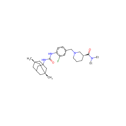 CCN(CC)C(=O)[C@H]1CCCN(Cc2ccc(NC(=O)NC34CC5C[C@@](C)(C3)C[C@](C)(C5)C4)c(F)c2)C1